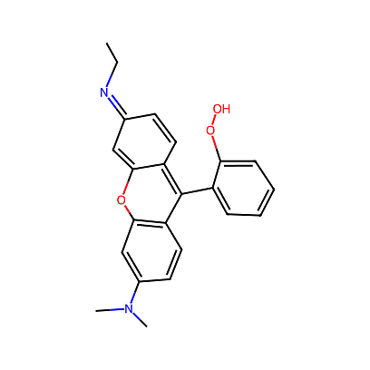 CC/N=c1\ccc2c(-c3ccccc3OO)c3ccc(N(C)C)cc3oc-2c1